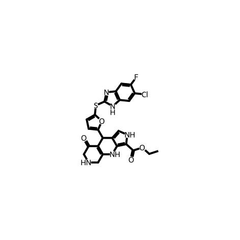 CCOC(=O)c1[nH]cc2c1NC1=C(C(=O)CNC1)C2c1ccc(Sc2nc3cc(F)c(Cl)cc3[nH]2)o1